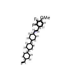 C=CC1CCC(C2CCC(C3CCC(/C=C/c4ccc(OC)c(F)c4F)CC3)CC2)CC1